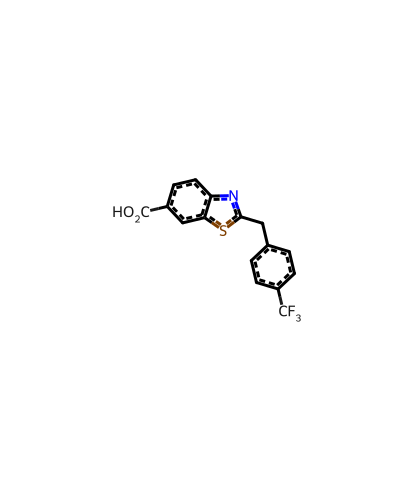 O=C(O)c1ccc2nc(Cc3ccc(C(F)(F)F)cc3)sc2c1